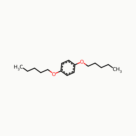 CCCCCOc1ccc(OCCCCC)cc1